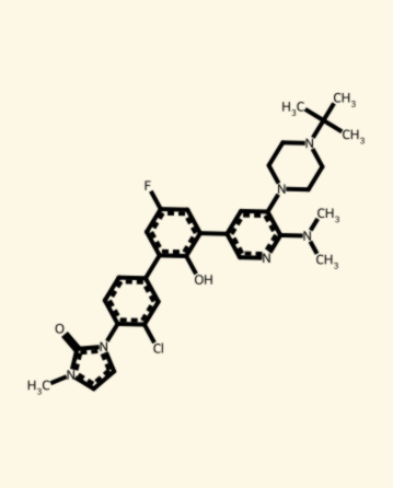 CN(C)c1ncc(-c2cc(F)cc(-c3ccc(-n4ccn(C)c4=O)c(Cl)c3)c2O)cc1N1CCN(C(C)(C)C)CC1